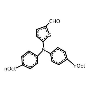 CCCCCCCCc1ccc(N(c2ccc(CCCCCCCC)cc2)c2ccc(C=O)s2)cc1